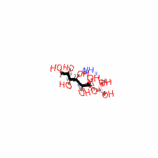 N.OC[C@@H](O)[C@@H](O)[C@H](O)[C@H](O)C(O)OB(O)O